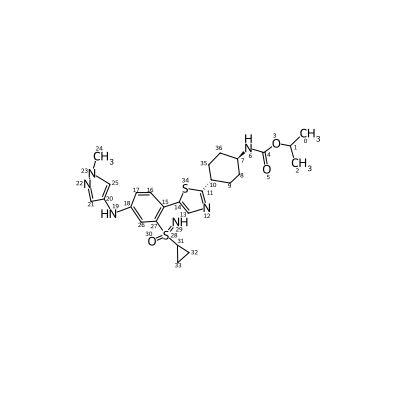 CC(C)OC(=O)N[C@H]1CC[C@H](c2ncc(-c3ccc(Nc4cnn(C)c4)cc3S(=N)(=O)C3CC3)s2)CC1